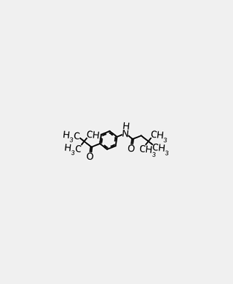 CC(C)(C)CC(=O)Nc1ccc(C(=O)C(C)(C)C)cc1